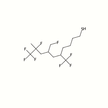 CC(F)(CC(CF)CC(CCCCS)C(F)(F)F)C(F)(F)F